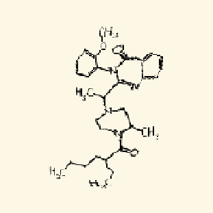 CCCCC(CC)C(=O)N1CCN(C(C)c2nc3ccccc3c(=O)n2-c2ccccc2OC)CC1C